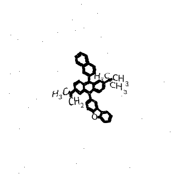 C=C(C)c1ccc2c(-c3ccc4ccccc4c3)c3cc(C(C)(C)C)ccc3c(-c3ccc4oc5ccccc5c4c3)c2c1